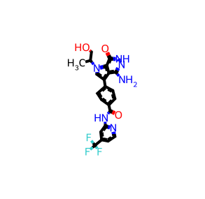 CC(CO)n1cc(-c2ccc(C(=O)Nc3cc(C(F)(F)F)ccn3)cc2)c2c(N)n[nH]c(=O)c21